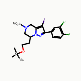 CC(C)(C)[Si](C)(C)OCCC1CN(C(=O)O)Cc2c(I)c(-c3ccc(F)c(Cl)c3)nn21